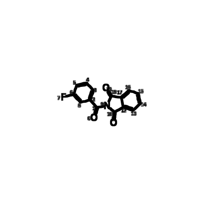 O=C(c1cccc(F)c1)N1C(=O)c2ccccc2C1=O